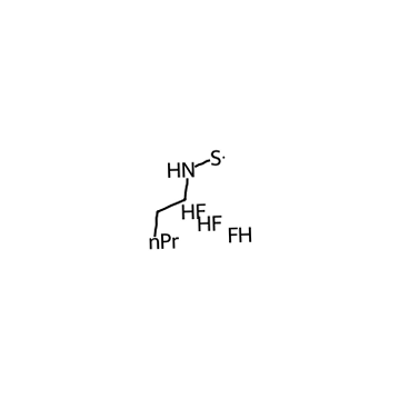 CCCCCN[S].F.F.F